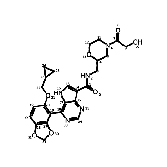 O=C(NCC1CN(C(=O)CO)CCO1)c1c[nH]c2c(-c3c(OCC4CC4)ccc4c3OCO4)ncnc12